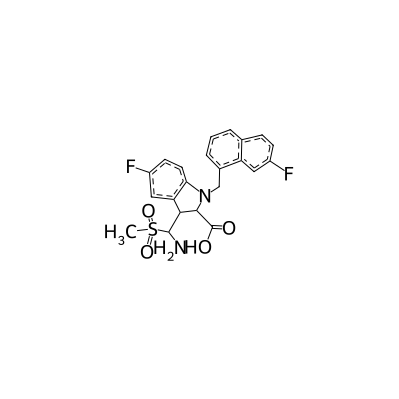 CS(=O)(=O)C(N)C1c2cc(F)ccc2N(Cc2cccc3ccc(F)cc23)C1C(=O)O